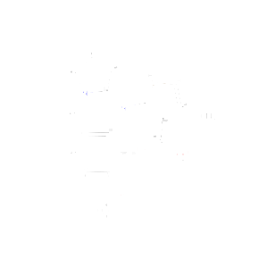 COc1ccc(CN2CCCC2=Nc2scc(C)c2C(=O)O)cc1